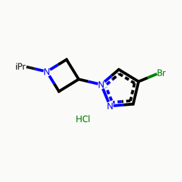 CC(C)N1CC(n2cc(Br)cn2)C1.Cl